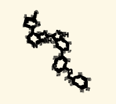 Cc1ccc(-c2ccnc3[nH]c(-c4n[nH]c5ccc(-c6cncc(OCc7ccccc7)c6)cc45)nc23)s1